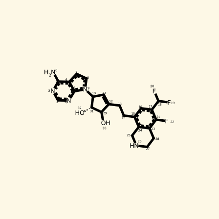 Nc1ncnc2c1ccn2C1C=C(CCc2cc(C(F)F)c(F)c3c2CNCC3)C(O)[C@@H]1O